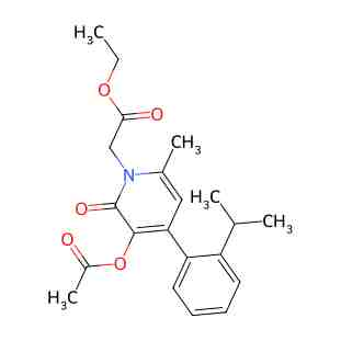 CCOC(=O)Cn1c(C)cc(-c2ccccc2C(C)C)c(OC(C)=O)c1=O